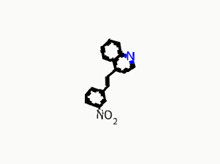 O=[N+]([O-])c1cccc(C=Cc2ccnc3ccccc23)c1